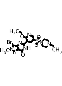 CCOc1ncc(S(=O)(=O)N2CCN(CC)CC2)cc1-c1nc2c(Br)n(C)nc2c(=O)[nH]1